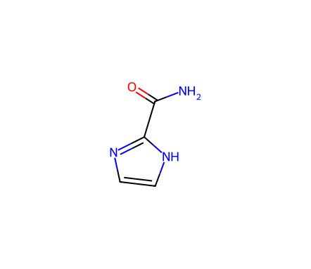 NC(=O)c1ncc[nH]1